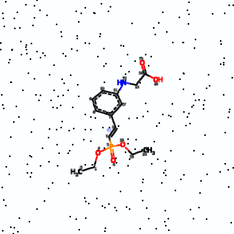 CCOP(=O)(/C=C/c1cccc(NCC(=O)O)c1)OCC